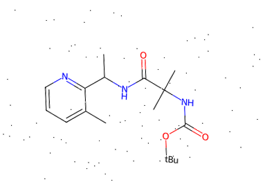 Cc1cccnc1C(C)NC(=O)C(C)(C)NC(=O)OC(C)(C)C